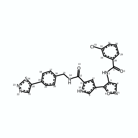 O=C(Nc1cnoc1-c1c[nH]c(C(=O)NCc2ccc(-c3cnns3)cc2)c1)c1cccc(Cl)c1